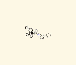 COC(=O)c1cc(Cl)ccc1NC(=O)/C=C/c1cccc(C2=CCCCC2)c1